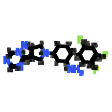 NC1CC(N2Cc3nn4cncnc4c3C2)CC[C@@H]1C1CC(F)=C(F)C=C1F